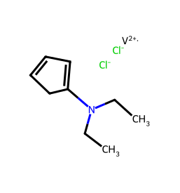 CCN(CC)C1=CC=CC1.[Cl-].[Cl-].[V+2]